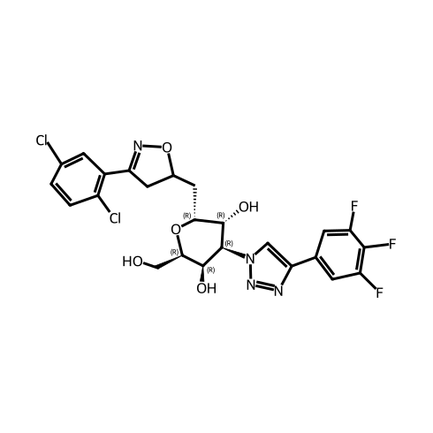 OC[C@H]1O[C@H](CC2CC(c3cc(Cl)ccc3Cl)=NO2)[C@H](O)[C@@H](n2cc(-c3cc(F)c(F)c(F)c3)nn2)[C@H]1O